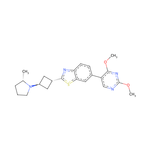 COc1ncc(-c2ccc3nc([C@H]4C[C@H](N5CCC[C@@H]5C)C4)sc3c2)c(OC)n1